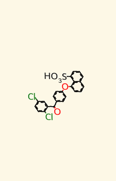 O=C(c1ccc(Oc2cccc3cccc(S(=O)(=O)O)c23)cc1)c1cc(Cl)ccc1Cl